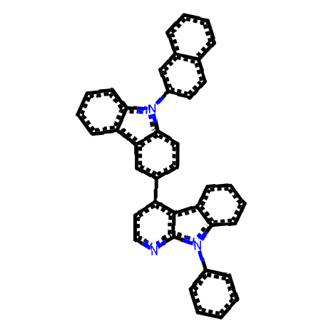 c1ccc(-n2c3ccccc3c3c(-c4ccc5c(c4)c4ccccc4n5-c4ccc5ccccc5c4)ccnc32)cc1